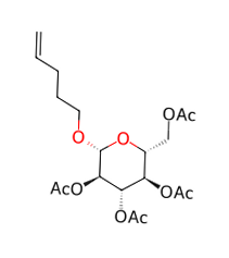 C=CCCCO[C@@H]1O[C@H](COC(C)=O)[C@@H](OC(C)=O)[C@H](OC(C)=O)[C@H]1OC(C)=O